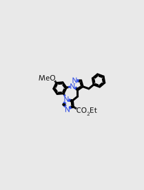 CCOC(=O)c1ncn2c1Cc1c(Cc3ccccc3)cnn1-c1cc(OC)ccc1-2